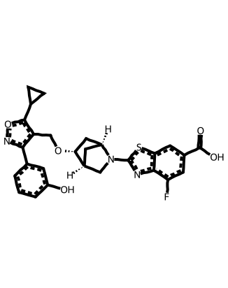 O=C(O)c1cc(F)c2nc(N3C[C@@H]4C[C@H]3C[C@H]4OCc3c(-c4cccc(O)c4)noc3C3CC3)sc2c1